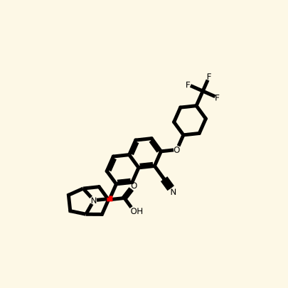 N#Cc1c(OC2CCC(C(F)(F)F)CC2)ccc2ccc(CN3C4CCC3CC(C(=O)O)C4)cc12